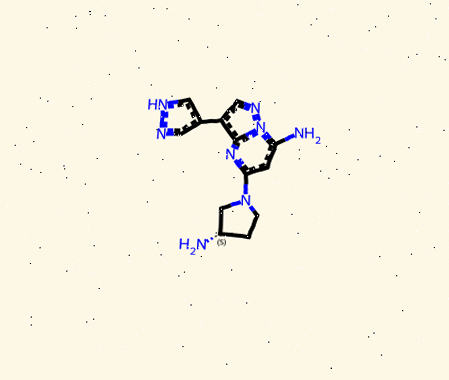 Nc1cc(N2CC[C@H](N)C2)nc2c(-c3cn[nH]c3)cnn12